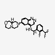 C[C@@H](Nc1cnnc2ccc(N3CCN4CCOC[C@@H]4C3)cc12)c1cccc(C(F)F)c1F